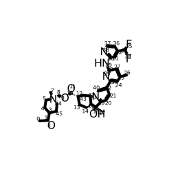 CC(=O)C1CC[N+](C)(COC(=O)[C@H]2CC[C@H]([C@@](C)(O)c3ccc(-c4cc(C)cc(Nc5cc(C(F)F)ccn5)n4)cn3)CC2)CC1